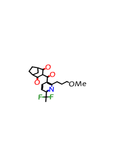 COCCCc1nc(C(C)(F)F)ccc1C(=O)C1C(=O)C2CCC(C2)C1=O